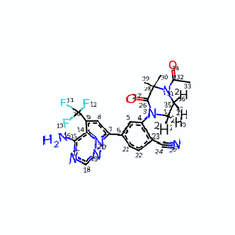 [2H]C1([2H])N(c2cc(-c3cc(C(F)(F)F)c4c(N)ncnn34)ccc2C#N)C(=O)C(C)(C)N(C(C)=O)C1([2H])[2H]